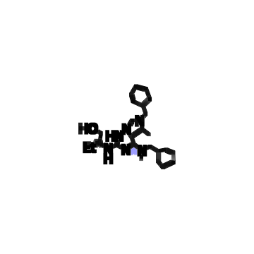 CC[C@H](CO)NC(=N)/N=C(\c1ncn(Cc2ccccc2)c1C)N(C)Cc1ccccc1